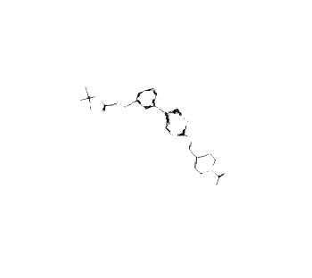 CC(=O)N1CCC(COc2ncc(-c3cccc(CNC(=O)OC(C)(C)C)c3)cn2)CC1